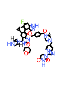 Cc1c(F)cc2[nH]ncc2c1-c1c(C2CC2)cc2c(N3C[C@@H]4C[C@H]3CN4)nc(OC3CCOCC3)nc2c1OCc1ccc(C(=O)N2CCN(Cc3ccn4c(N5CCC(=O)NC5=O)cnc4c3)C[C@@H]2C)cc1